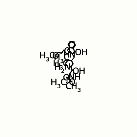 COCCCOc1ccccc1C(O)NC[C@@H](C[C@H](N)[C@@H](O)CNS(=O)(=O)C(C)C)C(C)C